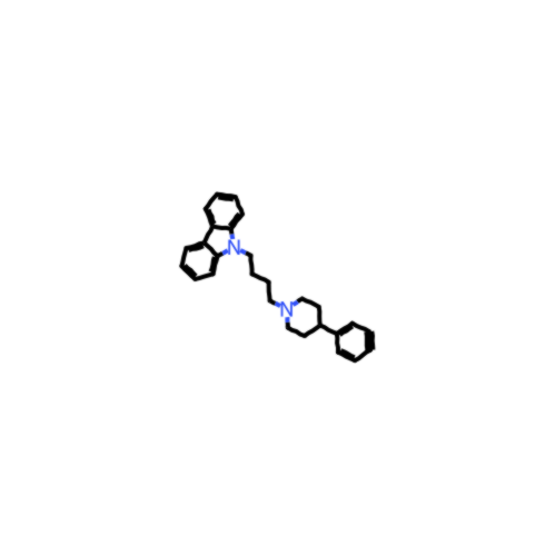 c1ccc(C2CCN(CCCCn3c4ccccc4c4ccccc43)CC2)cc#1